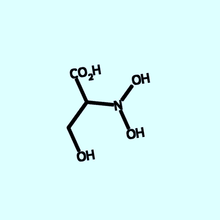 O=C(O)C(CO)N(O)O